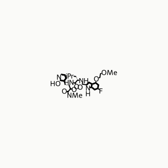 CNC(=O)C(=O)[C@H](Cc1cccnc1O)NC(=O)[C@H](CC(C)C)NC(=O)c1cc2c(OCCOC)cc(F)cc2[nH]1